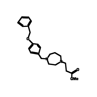 COC(=O)CCN1CCCN(Cc2ccc(OCc3ccccc3)cc2)CC1